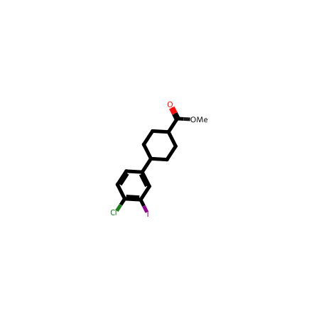 COC(=O)C1CCC(c2ccc(Cl)c(I)c2)CC1